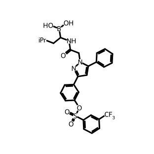 CC(C)CC(NC(=O)Cn1nc(-c2cccc(OS(=O)(=O)c3cccc(C(F)(F)F)c3)c2)cc1-c1ccccc1)B(O)O